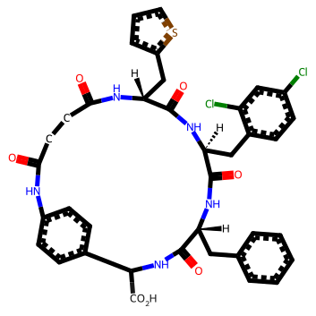 O=C1CCC(=O)N[C@H](Cc2cccs2)C(=O)N[C@@H](Cc2ccc(Cl)cc2Cl)C(=O)N[C@H](Cc2ccccc2)C(=O)NC(C(=O)O)c2ccc(cc2)N1